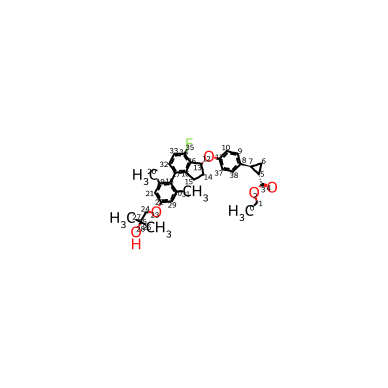 CCOC(=O)[C@H]1C[C@@H]1c1ccc(O[C@@H]2CCc3c(-c4c(C)cc(OCC(C)(C)O)cc4C)ccc(F)c32)cc1